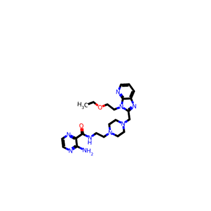 CCOCCn1c(CN2CCN(CCNC(=O)c3nccnc3N)CC2)nc2cccnc21